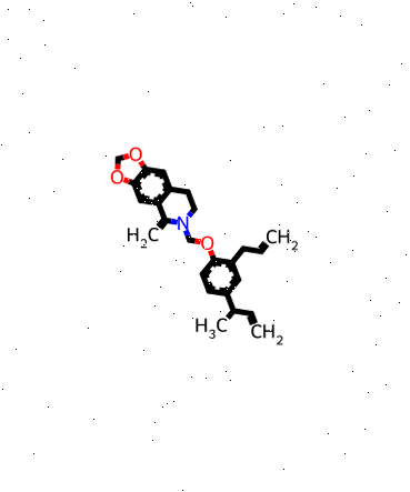 C=CCc1cc(C(C)C=C)ccc1OCN1CCc2cc3c(cc2C1=C)OCO3